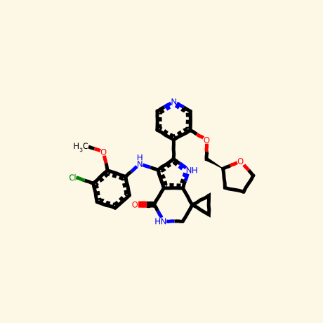 COc1c(Cl)cccc1Nc1c(-c2ccncc2OC[C@@H]2CCCO2)[nH]c2c1C(=O)NCC21CC1